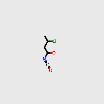 CC(Cl)CC(=O)N=C=O